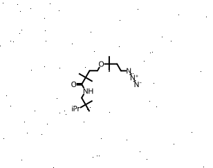 CC(C)C(C)(C)CNC(=O)C(C)(C)CCOC(C)(C)CCN=[N+]=[N-]